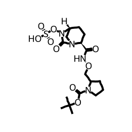 CC(C)(C)OC(=O)N1CCCC1CONC(=O)[C@@H]1CC[C@@H]2CN1C(=O)N2OS(=O)(=O)O